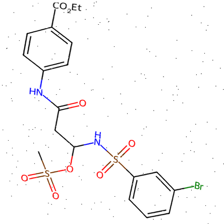 CCOC(=O)c1ccc(NC(=O)CC(NS(=O)(=O)c2cccc(Br)c2)OS(C)(=O)=O)cc1